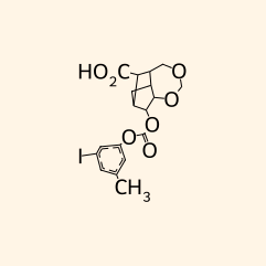 Cc1cc(I)cc(OC(=O)OC2C3CC4C(COCOC42)C3C(=O)O)c1